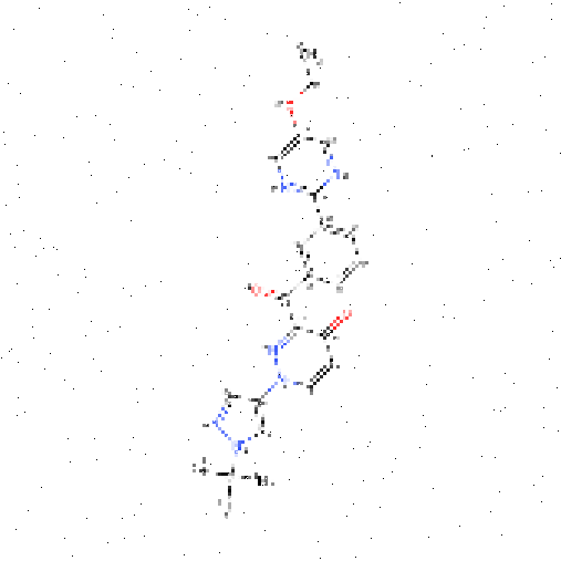 [2H]C([2H])([2H])n1cc(-n2ccc(=O)c(C(=O)c3cccc(-c4ncc(OCC)cn4)c3)n2)cn1